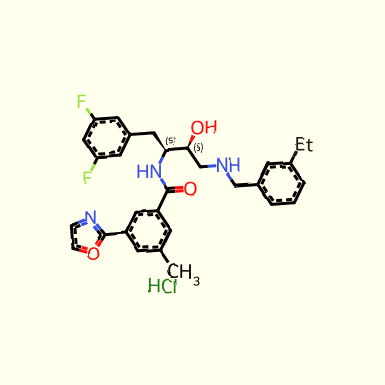 CCc1cccc(CNC[C@H](O)[C@H](Cc2cc(F)cc(F)c2)NC(=O)c2cc(C)cc(-c3ncco3)c2)c1.Cl